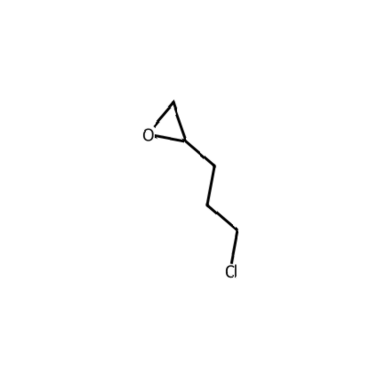 ClCCCC1CO1